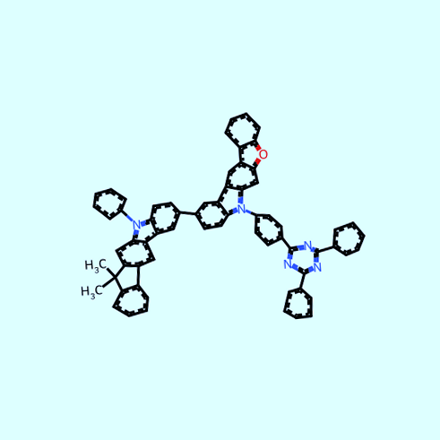 CC1(C)c2ccccc2-c2cc3c4cc(-c5ccc6c(c5)c5cc7c(cc5n6-c5ccc(-c6nc(-c8ccccc8)nc(-c8ccccc8)n6)cc5)oc5ccccc57)ccc4n(-c4ccccc4)c3cc21